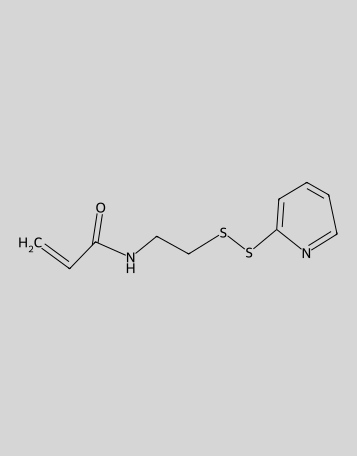 C=CC(=O)NCCSSc1ccccn1